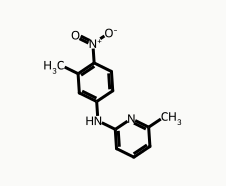 Cc1cccc(Nc2ccc([N+](=O)[O-])c(C)c2)n1